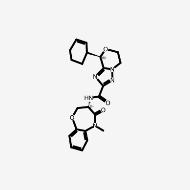 CN1C(=O)[C@@H](NC(=O)c2nc3n(n2)CCO[C@@H]3C2C=CCCC2)COc2ccccc21